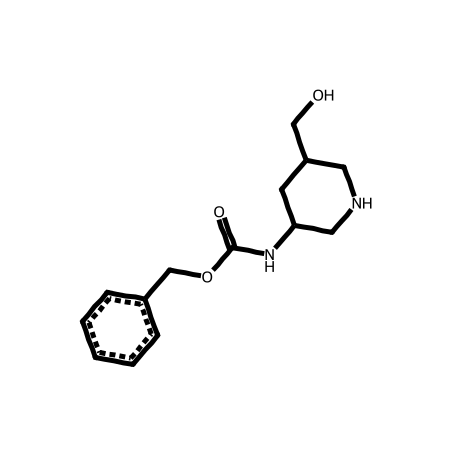 O=C(NC1CNCC(CO)C1)OCc1ccccc1